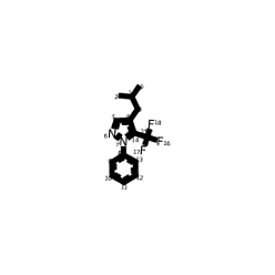 CC(C)Cc1cnn(-c2ccccc2)c1C(F)(F)F